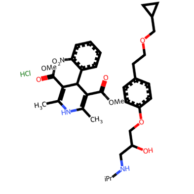 CC(C)NCC(O)COc1ccc(CCOCC2CC2)cc1.COC(=O)C1=C(C)NC(C)=C(C(=O)OC)C1c1ccccc1[N+](=O)[O-].Cl